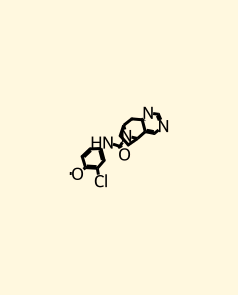 COc1ccc(NC(=O)N2C3CCC2c2cncnc2C3)cc1Cl